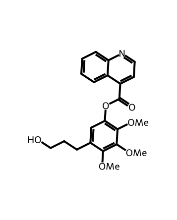 COc1c(CCCO)cc(OC(=O)c2ccnc3ccccc23)c(OC)c1OC